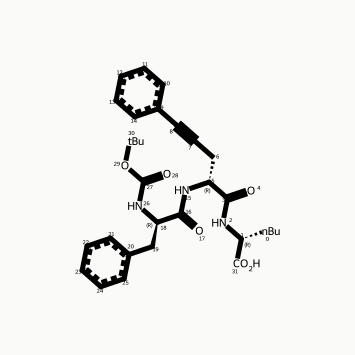 CCCC[C@@H](NC(=O)[C@@H](CC#Cc1ccccc1)NC(=O)[C@@H](Cc1ccccc1)NC(=O)OC(C)(C)C)C(=O)O